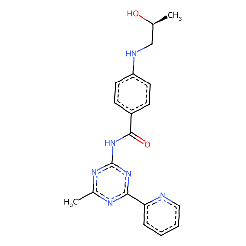 Cc1nc(NC(=O)c2ccc(NC[C@H](C)O)cc2)nc(-c2ccccn2)n1